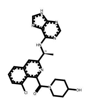 C[C@H](Nc1ncnc2[nH]cnc12)c1cc2cccc(Cl)c2c(C(=O)N2CCC(O)CC2)n1